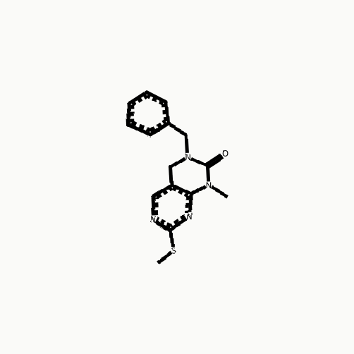 CSc1ncc2c(n1)N(C)C(=O)N(Cc1ccccc1)C2